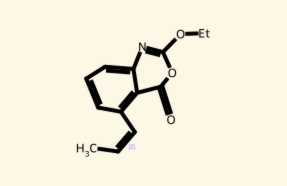 C/C=C\c1cccc2nc(OCC)oc(=O)c12